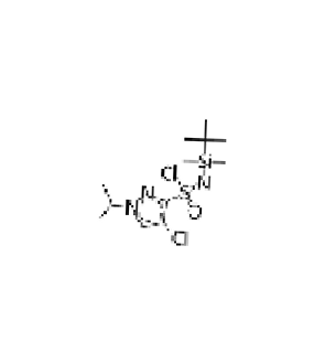 CC(C)n1cc(Cl)c(S(=O)(Cl)=N[Si](C)(C)C(C)(C)C)n1